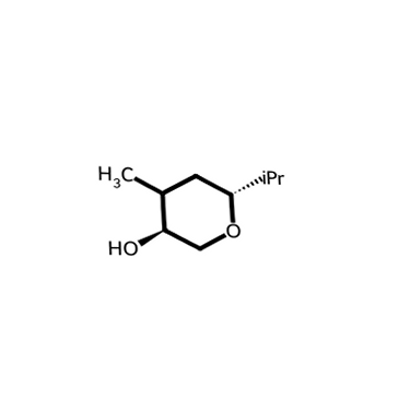 CC1C[C@H](C(C)C)OC[C@H]1O